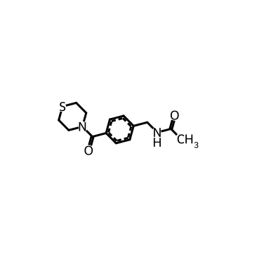 CC(=O)NCc1ccc(C(=O)N2CCSCC2)cc1